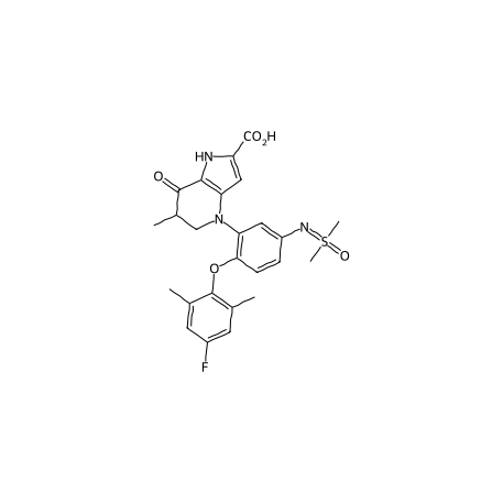 Cc1cc(F)cc(C)c1Oc1ccc(N=S(C)(C)=O)cc1N1CC(C)C(=O)c2[nH]c(C(=O)O)cc21